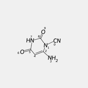 N#Cn1c(N)cc(=O)[nH]c1=O